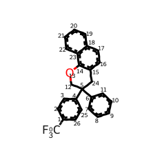 FC(F)(F)c1ccc(C2(c3ccccc3)COc3c(ccc4ccccc34)C2)cc1